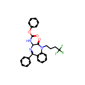 O=C(NC1N=C(c2ccccc2)c2ccccc2N(CCCC(F)(F)F)C1=O)Oc1ccccc1